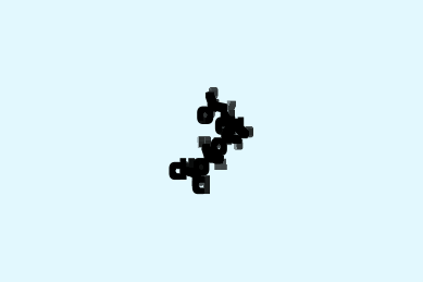 CC#N.CC(=O)O.CC(C)=O.CC(C)O.ClCCl